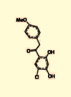 COc1ccc(CC(=O)c2cc(Cl)c(O)cc2O)cc1